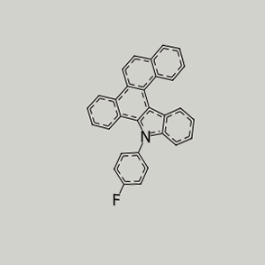 Fc1ccc(-n2c3ccccc3c3c4c5ccccc5ccc4c4ccccc4c32)cc1